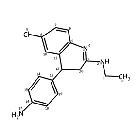 CCNC1=Nc2ccc(Cl)cc2C(c2ccc(N)cc2)C1